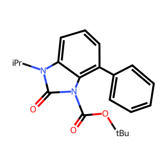 CC(C)n1c(=O)n(C(=O)OC(C)(C)C)c2c(-c3ccccc3)cccc21